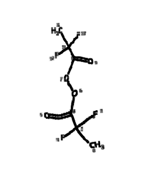 CC(F)(F)C(=O)OOC(=O)C(C)(F)F